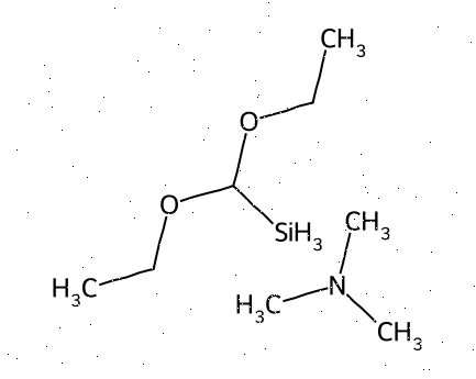 CCOC([SiH3])OCC.CN(C)C